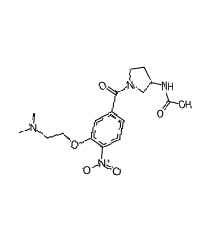 CN(C)CCOc1cc(C(=O)N2CCC(NC(=O)O)C2)ccc1[N+](=O)[O-]